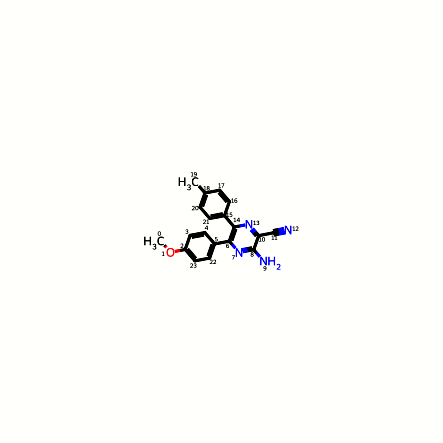 COc1ccc(-c2nc(N)c(C#N)nc2-c2ccc(C)cc2)cc1